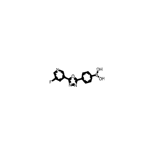 OB(O)c1ccc(-c2nnc(-c3cncc(F)c3)o2)cc1